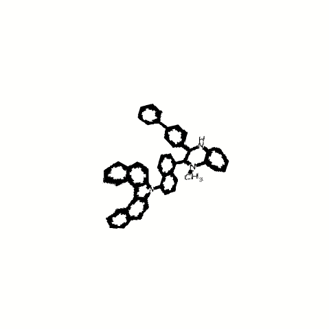 CN1c2ccccc2NC(c2ccc(-c3ccccc3)cc2)C1c1cccc2c(-n3c4ccc5ccccc5c4c4c5ccccc5ccc43)cccc12